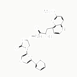 COc1ccc2nccc(C[C@H](O)C(=O)NC[C@@H]3CN(C4=COC=C(C5=CC=CCC5)O4)C(=O)O3)c2n1